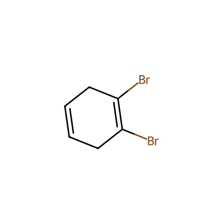 BrC1=C(Br)CC=CC1